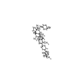 CC1C(C2=CCC(C(=O)NS(C)(=O)=O)CC2)=CCC2(C)C1CCC1(C)C2CCC2[C@H]3CCCC3(NCCN3CC[S+]([O-])CC3)CC[C@]21C